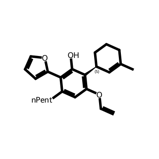 C=COc1cc(CCCCC)c(-c2ccco2)c(O)c1[C@@H]1C=C(C)CCC1